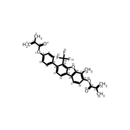 C=C(C)C(=O)Oc1ccc(-c2ccc3c(oc4c(C)c(OC(=O)C(=C)C)ccc43)c2C(F)(F)F)cc1